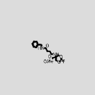 COCC1(NC(=O)CCC(=O)NCc2ccccc2)COB(F)OC1